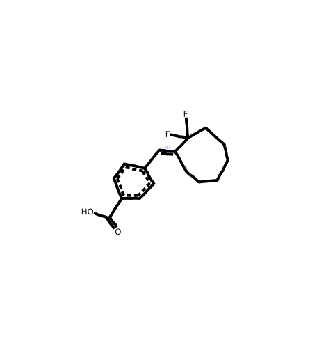 O=C(O)c1ccc(/C=C2\CCCCCCC2(F)F)cc1